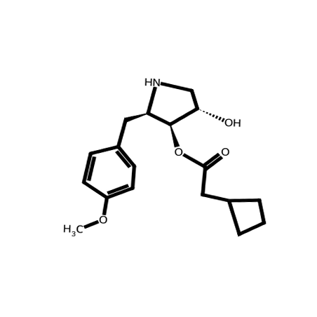 COc1ccc(C[C@H]2NC[C@H](O)[C@H]2OC(=O)CC2CCC2)cc1